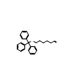 O=CCCCCCSC(c1ccccc1)(c1ccccc1)c1ccccc1